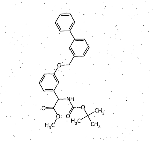 COC(=O)C(NC(=O)OC(C)(C)C)c1cccc(OCc2cccc(-c3ccccc3)c2)c1